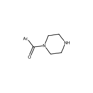 CC(=O)C(=O)N1CCNCC1